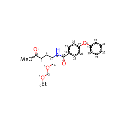 CCOCOC[C@H](CCC(=O)OC)NC(=O)c1ccc(Oc2ccccc2)cc1